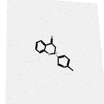 Cc1ccc([C@H]2CC(=O)c3ccccc3O2)cc1